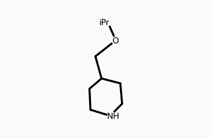 CC(C)OCC1CCNCC1